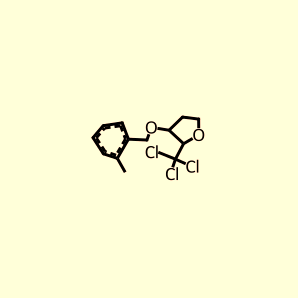 Cc1ccccc1COC1CCOC1C(Cl)(Cl)Cl